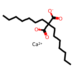 CCCCCCCC(CCCCCCC)(C(=O)[O-])C(=O)[O-].[Ca+2]